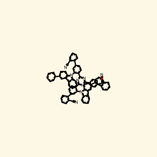 N#Cc1ccccc1-c1ccc(-c2nc(-c3ccc(-c4ccccc4C#N)cc3-n3c4ccccc4c4cc(-c5ccccc5)ccc43)nc(-c3ccc(-c4ccccc4C#N)cc3-n3c4ccccc4c4cc(-c5ccccc5)ccc43)n2)cc1